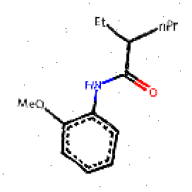 CCCC(CC)C(=O)Nc1ccccc1OC